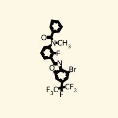 CN(C(=O)c1ccccc1)c1cccc(-c2nc3c(Br)cc(C(F)(C(F)(F)F)C(F)(F)F)cc3o2)c1F